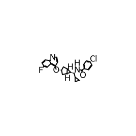 O=C(N[C@H](C1CC1)[C@H]1[C@@H]2C[C@H](Oc3ccnc4ccc(F)cc34)C[C@@H]21)c1ccc(Cl)cc1